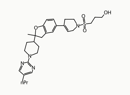 CCCc1cnc(N2CCC(C3(C)Cc4cc(C5=CCN(S(=O)(=O)CCCO)CC5)ccc4O3)CC2)nc1